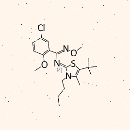 CCCCn1c(C)c(C(C)(C)C)s/c1=N\C(=NOC)c1cc(Cl)ccc1OC